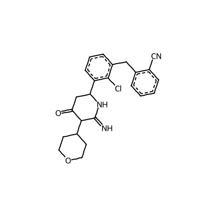 N#Cc1ccccc1Cc1cccc(C2CC(=O)C(C3CCOCC3)C(=N)N2)c1Cl